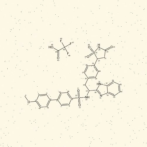 COc1ccc(-c2ccc(S(=O)(=O)NC(Cc3ccc(C4CC(=O)NS4(=O)=O)cc3)c3nc4ccccc4[nH]3)cc2)cc1.O=C(O)C(F)(F)F